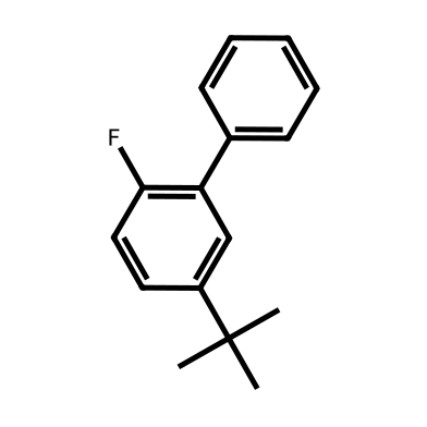 CC(C)(C)c1ccc(F)c(-c2ccccc2)c1